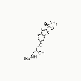 CC(C)(C)NCC(O)COc1ccc2nc(S(N)(=O)=O)sc2c1